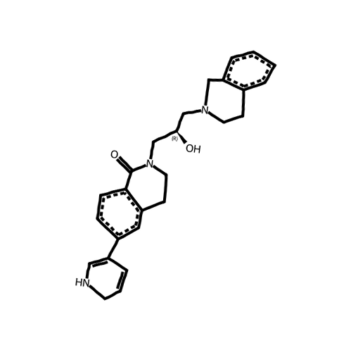 O=C1c2ccc(C3=CNCC=C3)cc2CCN1C[C@H](O)CN1CCc2ccccc2C1